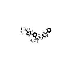 C[C@H](NC(=O)Oc1cnc(-c2ccccn2)nc1)c1cccc(-c2noc(C(C)(C)O)n2)c1